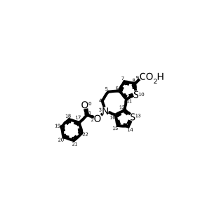 O=C(ON1CCc2cc(C(=O)O)sc2-c2sccc21)c1ccccc1